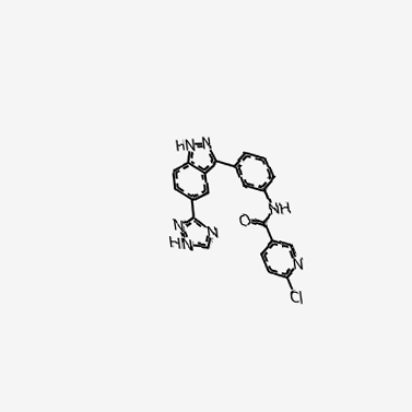 O=C(Nc1cccc(-c2n[nH]c3ccc(-c4nc[nH]n4)cc23)c1)c1ccc(Cl)nc1